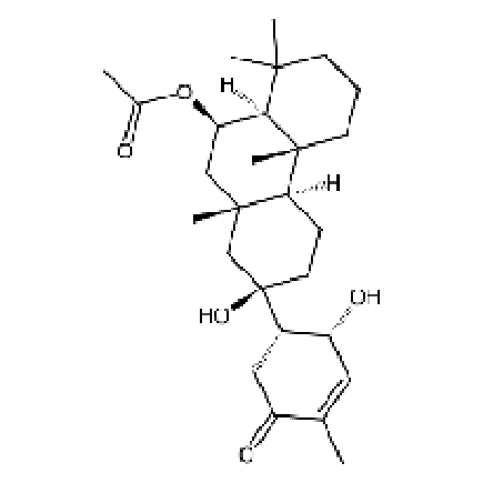 CC(=O)O[C@@H]1C[C@@]2(C)C[C@@](O)([C@H]3CC(=O)C(C)=C[C@H]3O)CC[C@@H]2[C@@]2(C)CCCC(C)(C)[C@H]12